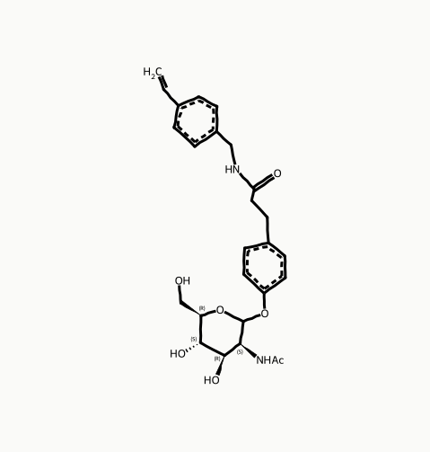 C=Cc1ccc(CNC(=O)CCc2ccc(OC3O[C@H](CO)[C@@H](O)[C@H](O)[C@@H]3NC(C)=O)cc2)cc1